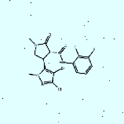 CN1C[C@H](c2c(Br)c(Cl)nn2C)[C@@H](C(=O)Nc2cccc(F)c2F)C1=O